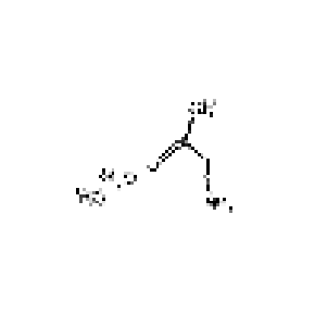 Cl.NCC(=O)O.O